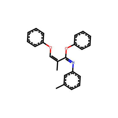 CC(=COc1ccccc1)C(=Nc1cccc(C)c1)Oc1ccccc1